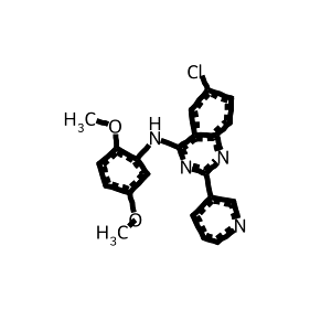 COc1ccc(OC)c(Nc2nc(-c3cccnc3)nc3ccc(Cl)cc23)c1